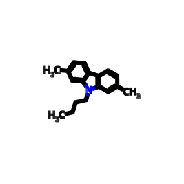 CCCCn1c2cc(C)ccc2c2ccc(C)cc21